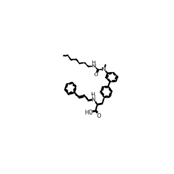 CCCCCCCNC(=O)N(C)c1cccc(-c2ccc(CC(NCC=Cc3ccccc3)C(=O)O)cc2)c1